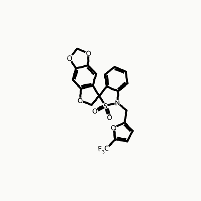 O=S1(=O)N(Cc2ccc(C(F)(F)F)o2)c2ccccc2C12COc1cc3c(cc12)OCO3